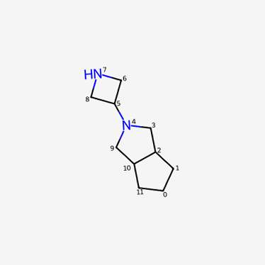 C1CC2CN(C3CNC3)CC2C1